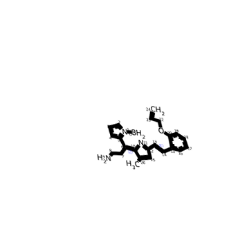 Bn1cccc1/C(CCN)=C1N=C(/C=C/c2ccccc2OCC=C)C=C\1C